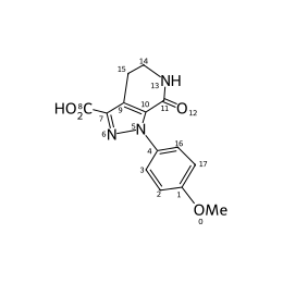 COc1ccc(-n2nc(C(=O)O)c3c2C(=O)NCC3)cc1